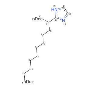 CCCCCCCCCCCCCCCCCCC(CCCCCCCCCC)c1ncc[nH]1